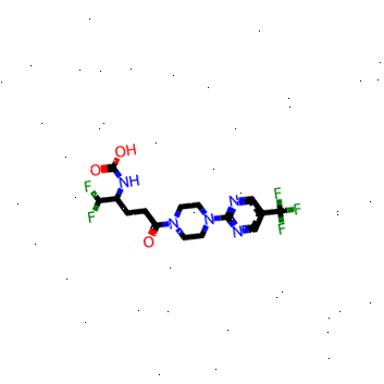 O=C(O)NC(CCC(=O)N1CCN(c2ncc(C(F)(F)F)cn2)CC1)C(F)F